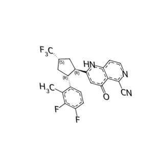 Cc1c([C@@H]2C[C@H](C(F)(F)F)C[C@H]2c2cc(=O)c3c(C#N)nccc3[nH]2)ccc(F)c1F